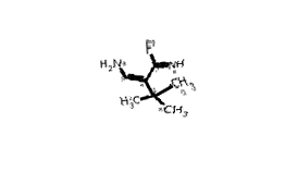 CC(C)(C)/C(=C/N)C(=N)F